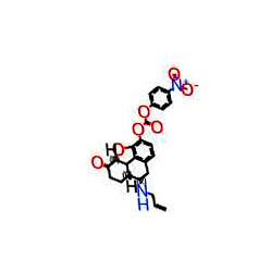 C=CCN[C@@H]1Cc2ccc(OC(=O)Oc3ccc([N+](=O)[O-])cc3)c3c2C2[C@H]1CCC(=O)[C@@H]2O3